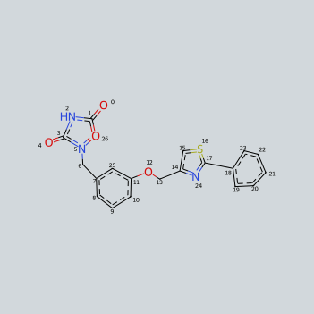 O=c1[nH]c(=O)n(Cc2cccc(OCc3csc(-c4ccccc4)n3)c2)o1